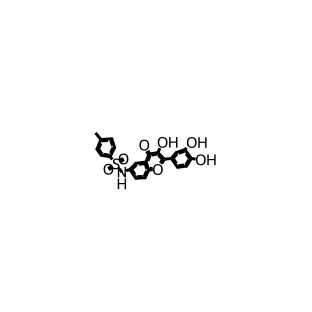 Cc1ccc(S(=O)(=O)Nc2ccc3oc(-c4ccc(O)c(O)c4)c(O)c(=O)c3c2)cc1